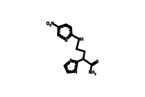 NC(=S)N(CCNc1ccc([N+](=O)[O-])cn1)c1nccs1